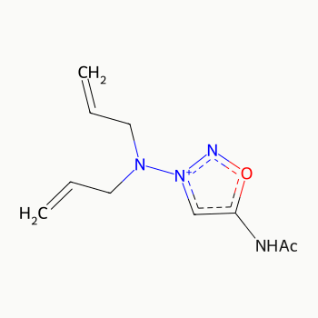 C=CCN(CC=C)[n+]1cc([N-]C(C)=O)on1